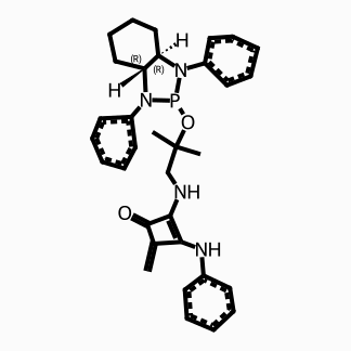 C=C1C(=O)C(NCC(C)(C)OP2N(c3ccccc3)[C@@H]3CCCC[C@H]3N2c2ccccc2)=C1Nc1ccccc1